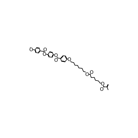 C=C(C)C(=O)OCCCCCC(=O)OCCCCCCCCOc1ccc(C(=O)Oc2ccc(OC(=O)c3ccc(OC)cc3)cc2)cc1